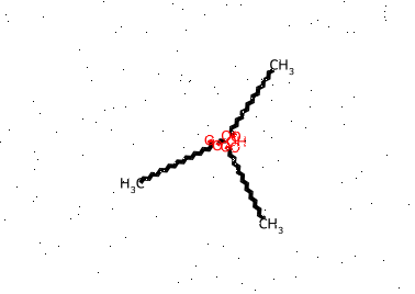 CCCCCCCCCCCCCCCCCC(=O)OCC(O)(OC(=O)CCCCCCCCCCCCCCCCC)OC(=O)CCCCCCCCCCCCCCCCC